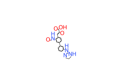 COC(=Cc1ccc(-c2cccc(NC3=NCCCN3)c2)cc1NC=O)C(=O)O